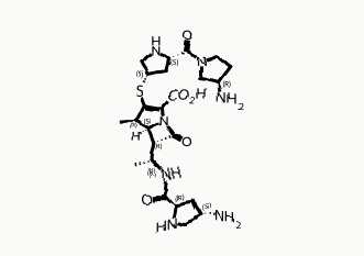 C[C@@H](NC(=O)[C@H]1C[C@H](N)CN1)[C@H]1C(=O)N2C(C(=O)O)=C(S[C@@H]3CN[C@H](C(=O)N4CC[C@@H](N)C4)C3)[C@H](C)[C@H]12